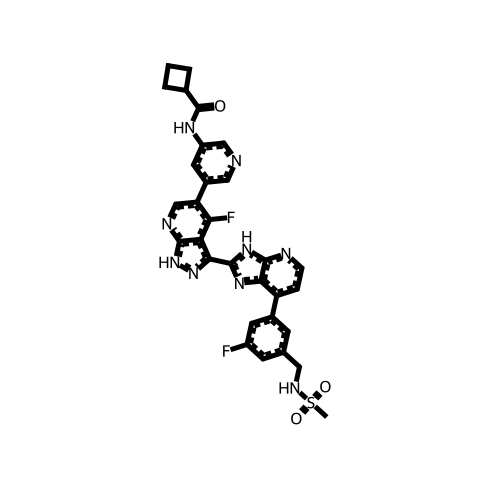 CS(=O)(=O)NCc1cc(F)cc(-c2ccnc3[nH]c(-c4n[nH]c5ncc(-c6cncc(NC(=O)C7CCC7)c6)c(F)c45)nc23)c1